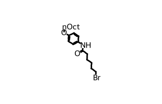 CCCCCCCCOc1ccc(NC(=O)CCCCCBr)cc1